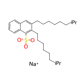 CC(C)CCCCCCc1cc2ccccc2c(S(=O)(=O)[O-])c1CCCCCCC(C)C.[Na+]